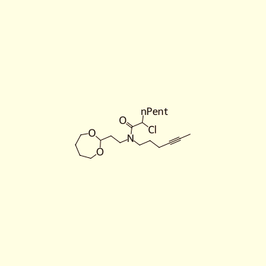 CC#CCCCN(CCC1OCCCCO1)C(=O)C(Cl)CCCCC